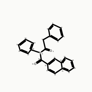 O=C(Cc1ccccc1)N(C(=O)c1ccc2ccccc2c1)c1cc[c]cc1